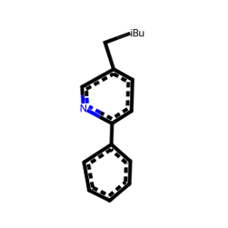 CCC(C)Cc1ccc(-c2ccccc2)nc1